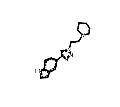 c1cc2cc(-c3cn(CCN4CCCCC4)nn3)ccc2[nH]1